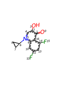 O=c1c(O)cn(C2CC2)c2cc(F)cc(F)c12